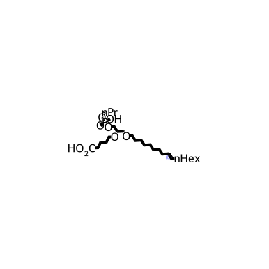 CCCCCC/C=C/CCCCCCCCOCC(COP(=O)(O)OCCC)OCCCCC(=O)O